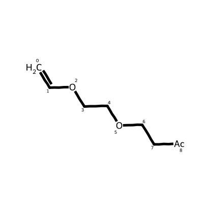 C=COCCOCCC(C)=O